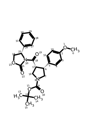 COc1ccc([C@@H]2CN(C(=O)OC(C)(C)C)C[C@@H]2C(=O)N2C(=O)OC[C@@H]2c2ccccc2)cc1